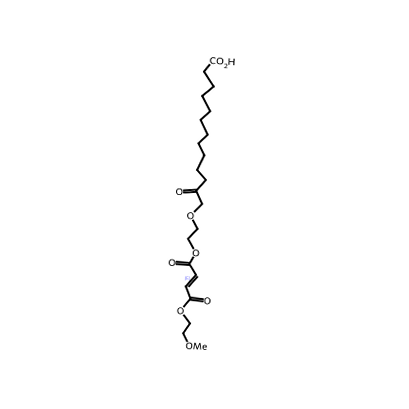 COCCOC(=O)/C=C/C(=O)OCCOCC(=O)CCCCCCCCCCC(=O)O